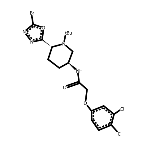 CC(C)(C)N1C[C@@H](NC(=O)COc2ccc(Cl)c(Cl)c2)CC[C@@H]1c1nnc(Br)o1